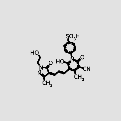 CC1=NN(CCO)C(=O)/C1=C\C=C\c1c(C)c(C#N)c(=O)n(-c2ccc(S(=O)(=O)O)cc2)c1O